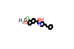 COc1ccc2cc(C(O)CN3CCC(=CCc4ccccc4)CC3)ccc2c1Cl